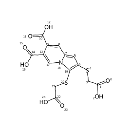 O=C(O)CSc1[c]c2cc(C(=O)O)c(C(=O)O)cn2c1SCC(=O)O